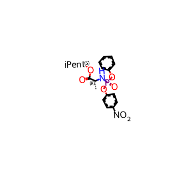 CCC[C@H](C)OC(=O)[C@@H](C)NP(=O)(Oc1ccccc1)Oc1ccc([N+](=O)[O-])cc1